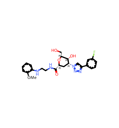 COc1ccccc1NCCNC(=O)[C@H]1C[C@@H](n2cc(-c3cccc(F)c3)nn2)[C@@H](O)[C@@H](CO)O1